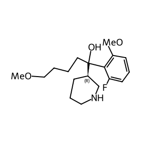 COCCCCC(O)(c1c(F)cccc1OC)[C@@H]1CCCNC1